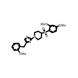 COc1ccc(S(=O)(=O)C2CCN(c3nc(Cc4ccccc4OC)cs3)CC2)c(OC)c1